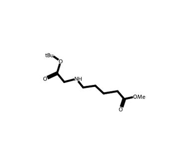 COC(=O)CCCCNCC(=O)OC(C)(C)C